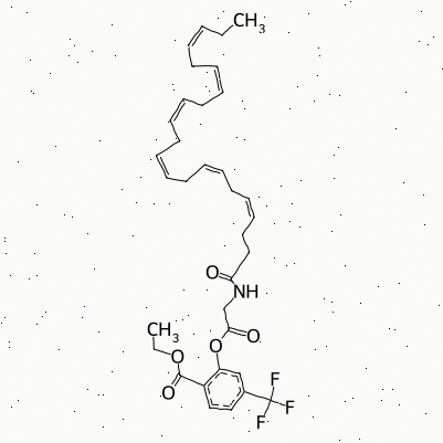 CC/C=C\C/C=C\C/C=C\C/C=C\C/C=C\C/C=C\CCC(=O)NCC(=O)Oc1cc(C(F)(F)F)ccc1C(=O)OCC